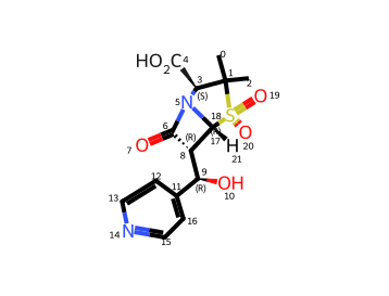 CC1(C)[C@H](C(=O)O)N2C(=O)[C@@H]([C@@H](O)c3ccncc3)[C@H]2S1(=O)=O